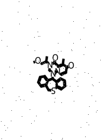 COCC(C)N1CN(C2c3ccccc3CSc3ccccc32)n2ccc(=O)c(C)c2C1=O